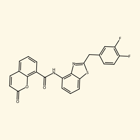 O=C(Nc1cccc2sc(Cc3ccc(F)c(F)c3)nc12)c1cccc2ccc(=O)oc12